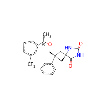 C[C@@H](OC[C@]1(c2ccccc2)C[C@@]2(C1)NC(=O)NC2=O)c1cccc(C(F)(F)F)c1